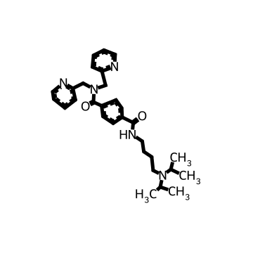 CC(C)N(CCCCNC(=O)c1ccc(C(=O)N(Cc2ccccn2)Cc2ccccn2)cc1)C(C)C